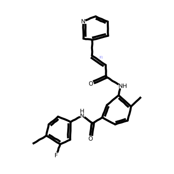 Cc1ccc(NC(=O)c2ccc(C)c(NC(=O)/C=C/c3cccnc3)c2)cc1F